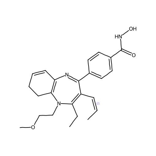 C/C=C\C1=C(CC)N(CCOC)C2=C(C=CCC2)N=C1c1ccc(C(=O)NO)cc1